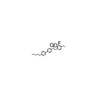 CCCCCc1ccc(-c2ccc(C3Cc4ccc(CC)c(F)c4OC3=O)cc2)cc1